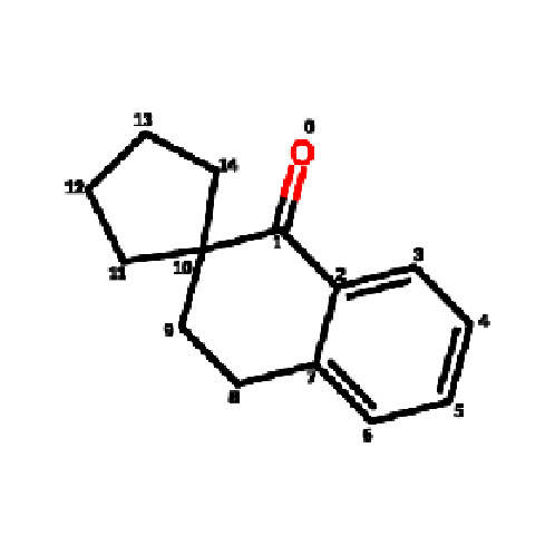 O=C1c2ccccc2CCC12CCCC2